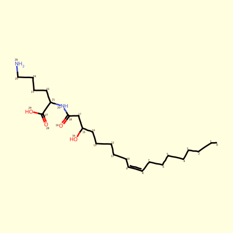 CCCCCCCC/C=C\CCCCCC(O)CC(=O)NC(CCCCN)C(=O)O